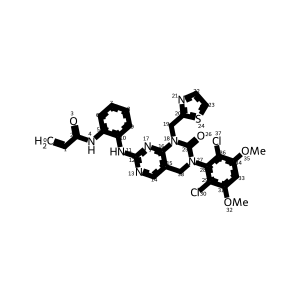 C=CC(=O)Nc1ccccc1Nc1ncc2c(n1)N(Cc1nccs1)C(=O)N(c1c(Cl)c(OC)cc(OC)c1Cl)C2